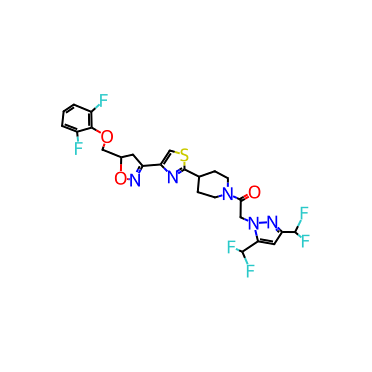 O=C(Cn1nc(C(F)F)cc1C(F)F)N1CCC(c2nc(C3=NOC(COc4c(F)cccc4F)C3)cs2)CC1